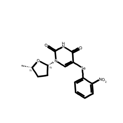 C[C@H]1CC[C@@H](n2cc([Se]c3ccccc3[N+](=O)[O-])c(=O)[nH]c2=O)O1